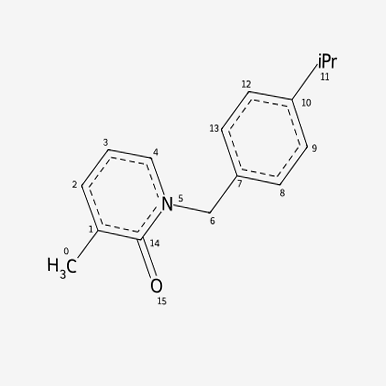 Cc1cccn(Cc2ccc(C(C)C)cc2)c1=O